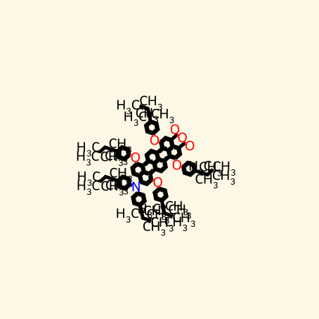 CC(C)(C)CC(C)(C)c1ccc(Oc2ccc3c(N(c4ccc(C(C)(C)CC(C)(C)C)cc4)c4ccc(C(C)(C)CC(C)(C)C)cc4)cc(Oc4ccc(C(C)(C)CC(C)(C)C)cc4)c4c5ccc6c7c(Oc8ccc(C(C)(C)CC(C)(C)C)cc8)cc8c9c(cc(Oc%10ccc(C(C)(C)CC(C)(C)C)cc%10)c(c%10ccc(c2c34)c5c%106)c97)C(=O)OC8=O)cc1